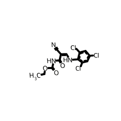 CCOC(=O)NC(=O)C(C#N)=CNc1c(Cl)cc(Cl)cc1Cl